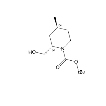 C[C@H]1CCN(C(=O)OC(C)(C)C)[C@H](CO)C1